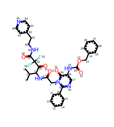 CC(C)C(NC(=O)Cn1c(-c2ccccc2)ncc(NC(=O)OCc2ccccc2)c1=O)C(=O)C(F)(F)C(=O)NCCc1ccncc1